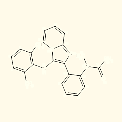 Cc1cccc(C)c1Nc1c(-c2ccccc2N(C)C(N)=O)nc2ccccn12